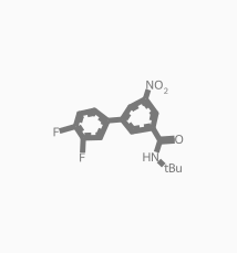 CC(C)(C)NC(=O)c1cc(-c2ccc(F)c(F)c2)cc([N+](=O)[O-])c1